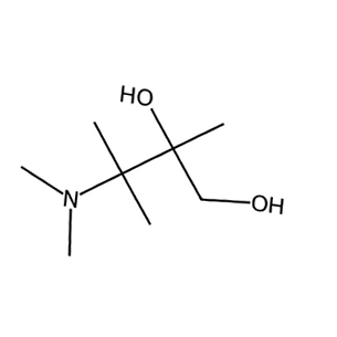 CN(C)C(C)(C)C(C)(O)CO